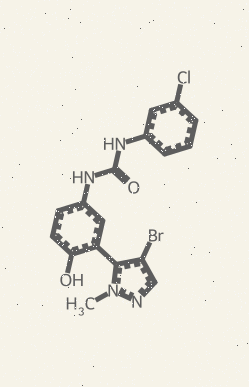 Cn1ncc(Br)c1-c1cc(NC(=O)Nc2cccc(Cl)c2)ccc1O